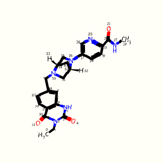 CCn1c(=O)[nH]c2cc(CN3C[C@@H]4C[C@H]3CN4c3ccc(C(=O)NC)nc3)ccc2c1=O